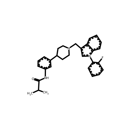 CC(C)C(=O)Nc1cccc(C2CCN(Cc3cn(-c4ccccc4F)c4ccccc34)CC2)c1